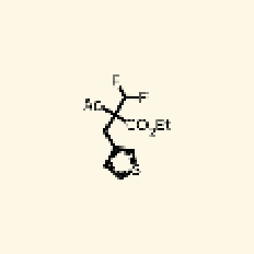 CCOC(=O)C(Cc1ccsc1)(C(C)=O)C(F)F